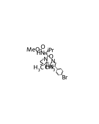 COC(=O)N[C@H](C(=O)N1CSC(C)(C)[C@H]1c1ncc(-c2ccc(Br)cc2)[nH]1)C(C)C